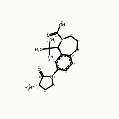 CC(C)(C)C1c2cc(N3CC[C@H](N)C3=O)ccc2CCCN1C(=O)O